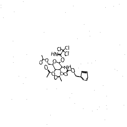 CC(=O)OC[C@H]1OC(OC(=N)C(Cl)(Cl)Cl)C(NC(=O)OCc2ccccc2)[C@@H](OC(C)=O)C1OC(C)=O